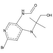 CN(c1cc(Br)ncc1NC=O)C(C)(C)CO